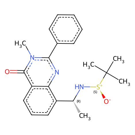 C[C@@H](N[S@+]([O-])C(C)(C)C)c1cccc2c(=O)n(C)c(-c3ccccc3)nc12